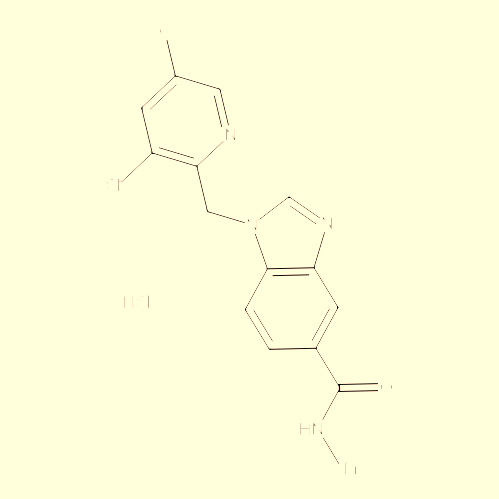 CC(C)NC(=O)c1ccc2c(c1)ncn2Cc1ncc(Cl)cc1Cl.Cl